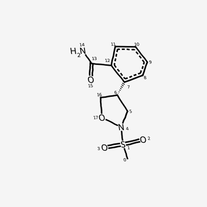 CS(=O)(=O)N1C[C@@H](c2ccccc2C(N)=O)CO1